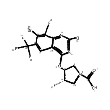 O=C(O)N1C[C@H](Oc2nc(Cl)nc3c(F)c(Br)c(C(F)(F)F)cc23)[C@@H](F)C1